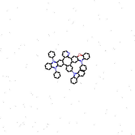 c1ccc(-n2c3ccccc3oc3cc4c(cc32)c2cc(-n3c5ccccc5c5ccccc53)ccc2c2cc3c(cc2c2cccnc24)n(-c2ccccc2)c2ccccc2n3-c2ccccc2)cc1